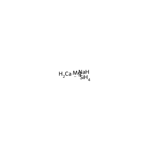 [CaH2].[Mg].[NaH].[SiH4]